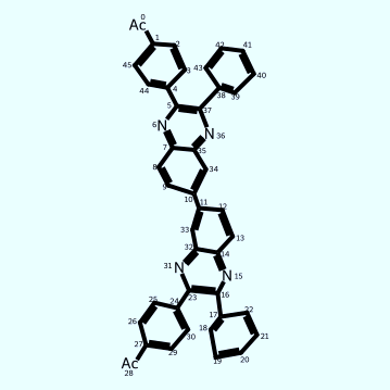 CC(=O)c1ccc(-c2nc3ccc(-c4ccc5nc(-c6ccccc6)c(-c6ccc(C(C)=O)cc6)nc5c4)cc3nc2-c2ccccc2)cc1